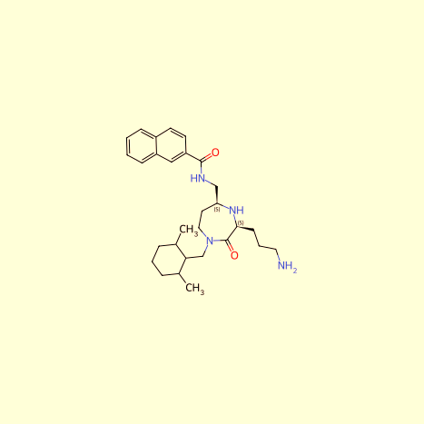 CC1CCCC(C)C1CN1CC[C@@H](CNC(=O)c2ccc3ccccc3c2)N[C@@H](CCCN)C1=O